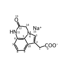 O=C([O-])Cc1cn2c3c(cccc13)NC(=O)C2.[Na+]